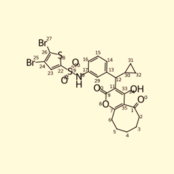 O=C1CCCCCc2oc(=O)c(C(c3cccc(NS(=O)(=O)c4cc(Br)c(Br)s4)c3)C3CC3)c(O)c21